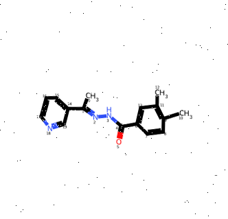 C/C(=N\NC(=O)c1ccc(C)c(C)c1)c1cccnc1